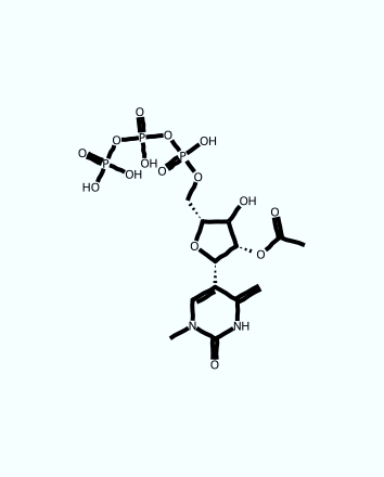 C=C1NC(=O)N(C)C=C1[C@@H]1O[C@H](COP(=O)(O)OP(=O)(O)OP(=O)(O)O)C(O)[C@@H]1OC(C)=O